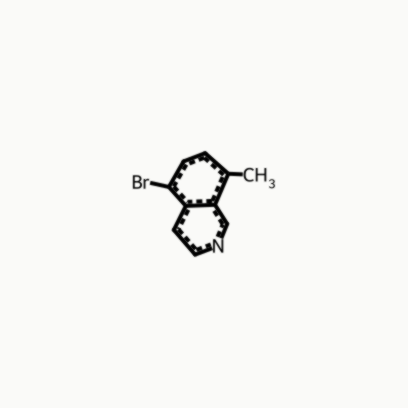 Cc1ccc(Br)c2ccncc12